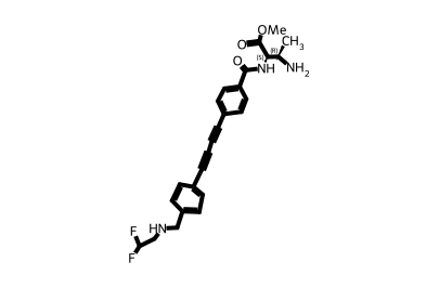 COC(=O)[C@@H](NC(=O)c1ccc(C#CC#Cc2ccc(CNCC(F)F)cc2)cc1)[C@@H](C)N